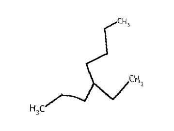 C[CH]CC(CC)CCCC